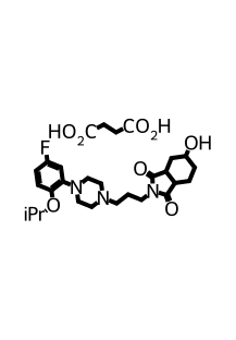 CC(C)Oc1ccc(F)cc1N1CCN(CCCN2C(=O)C3CCC(O)CC3C2=O)CC1.O=C(O)CCC(=O)O